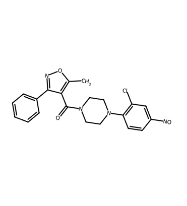 Cc1onc(-c2ccccc2)c1C(=O)N1CCN(c2ccc(N=O)cc2Cl)CC1